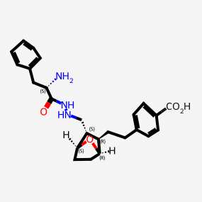 N[C@@H](Cc1ccccc1)C(=O)NNC[C@@H]1[C@@H](CCc2ccc(C(=O)O)cc2)[C@H]2CC[C@@H]1O2